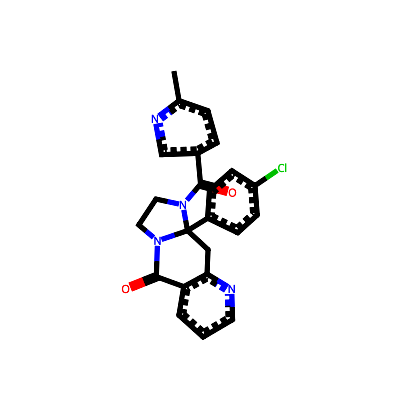 Cc1ccc(C(=O)N2CCN3C(=O)c4cccnc4CC23c2ccc(Cl)cc2)cn1